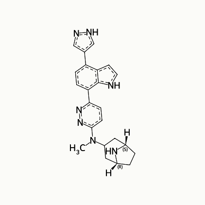 CN(c1ccc(-c2ccc(-c3cn[nH]c3)c3cc[nH]c23)nn1)C1C[C@H]2CC[C@@H](C1)N2